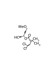 C#CC(C#CCOC)OC(=O)C1C(C=C(Cl)Cl)C1(C)C